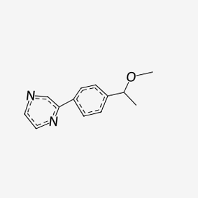 COC(C)c1ccc(-c2cnccn2)cc1